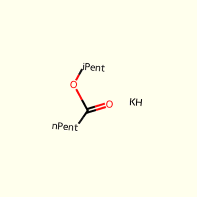 CCCCCC(=O)OC(C)CCC.[KH]